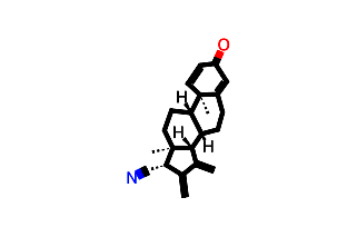 C=C1C(=C)[C@H]2[C@@H]3CCC4=CC(=O)C=C[C@]4(C)[C@H]3CC[C@]2(C)[C@H]1C#N